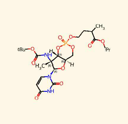 CC(C)OC(=O)C(C)CCOP1(=O)OC[C@H]2O[C@@H](n3ccc(=O)[nH]c3=O)[C@](C)(NC(=O)OC(C)(C)C)[C@@H]2O1